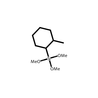 CO[Si](OC)(OC)C1CCCCC1C